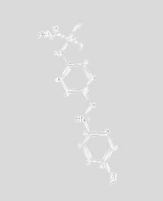 CC(C)(Oc1ccc(CNc2ccc(Cl)cc2)cc1)C(=O)O